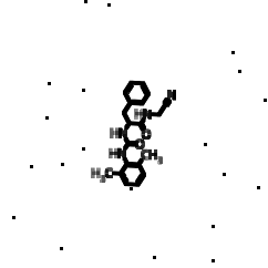 Cc1cccc(C)c1NC(=O)NC(Cc1ccccc1)C(=O)NCC#N